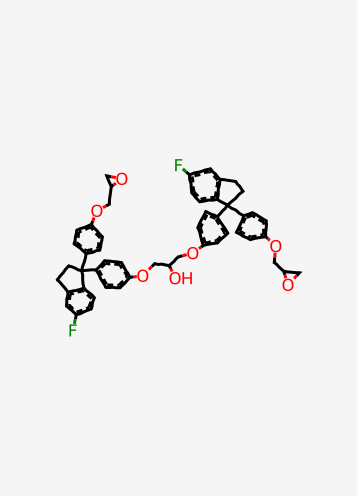 OC(COc1ccc(C2(c3ccc(OCC4CO4)cc3)CCc3cc(F)ccc32)cc1)COc1ccc(C2(c3ccc(OCC4CO4)cc3)CCc3cc(F)ccc32)cc1